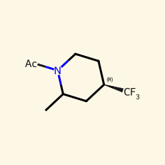 CC(=O)N1CC[C@@H](C(F)(F)F)CC1C